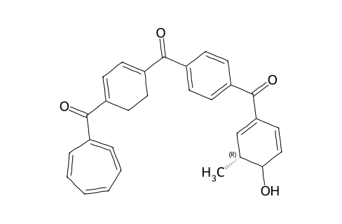 C[C@@H]1C=C(C(=O)c2ccc(C(=O)C3=CC=C(C(=O)C4=C=CC=CC=C4)CC3)cc2)C=CC1O